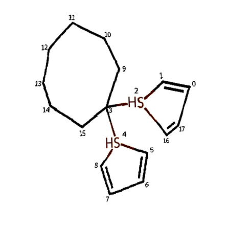 C1=C[SH](C2([SH]3C=CC=C3)CCCCCCC2)C=C1